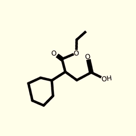 CCOC(=O)C(CC(=O)O)C1CCCCC1